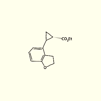 CCOC(=O)[C@H]1CC1c1cccc2c1CCO2